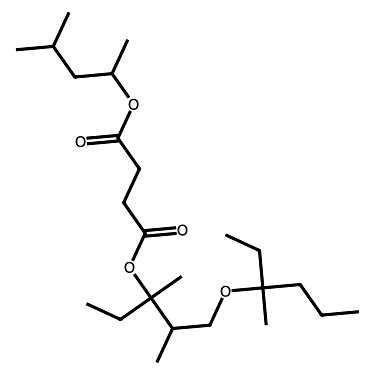 CCCC(C)(CC)OCC(C)C(C)(CC)OC(=O)CCC(=O)OC(C)CC(C)C